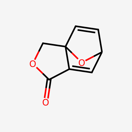 O=C1OCC23C=CC(C=C12)O3